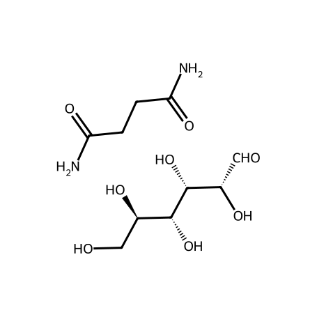 NC(=O)CCC(N)=O.O=C[C@H](O)[C@@H](O)[C@H](O)[C@H](O)CO